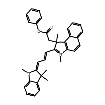 CN1/C(=C/C=C/C2=[N+](C)c3ccc4ccccc4c3C2(C)CC(=O)Oc2ccccc2)C(C)(C)c2ccccc21